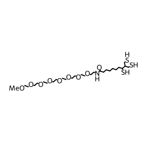 COCCOCCOCCOCCOCCOCCOCCOCCNC(=O)CCCCCCC(S)C(CS)CS